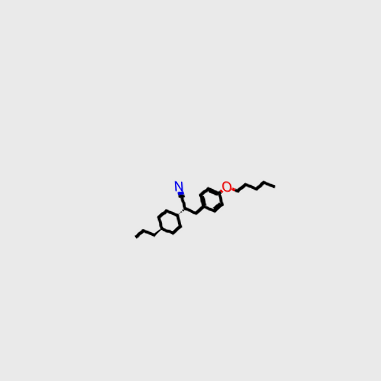 CCCCCOc1ccc(CC(C#N)[C@H]2CC[C@H](CCC)CC2)cc1